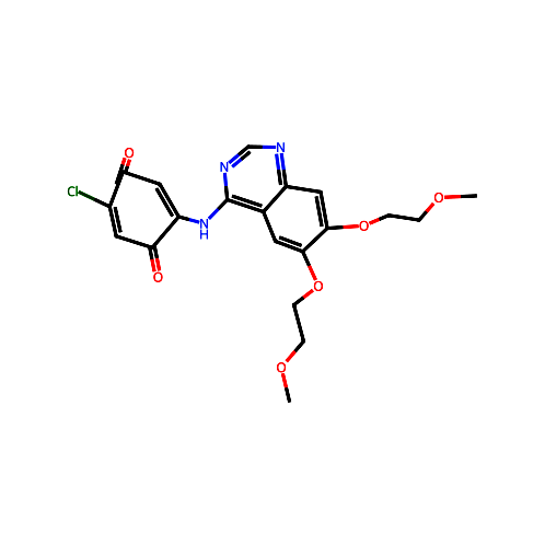 COCCOc1cc2ncnc(NC3=CC(=O)C(Cl)=CC3=O)c2cc1OCCOC